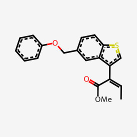 CC=C(C(=O)OC)c1csc2ccc(COc3ccccc3)cc12